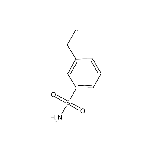 [CH2]Cc1cccc(S(N)(=O)=O)c1